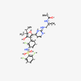 COC(=O)N[C@@H](C)CNc1nccc(C2=C(c3cccc(NS(=O)(=O)c4c(F)cccc4F)c3F)C(=O)C(C)(CC(C)C)O2)n1